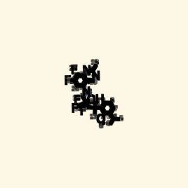 COc1c(C(C)C)cccc1C(C)(C)CC(O)(/C=N/c1cc(F)c(F)c2nc(C)ncc12)C(F)(F)F